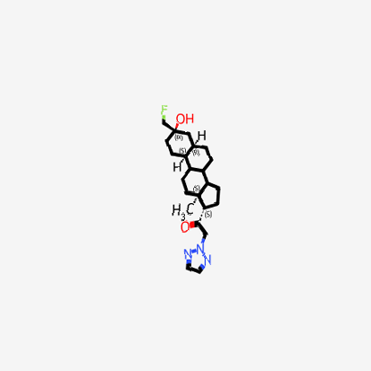 C[C@]12CCC3C(CC[C@@H]4C[C@@](O)(CF)CC[C@H]34)C1CC[C@@H]2C(=O)Cn1nccn1